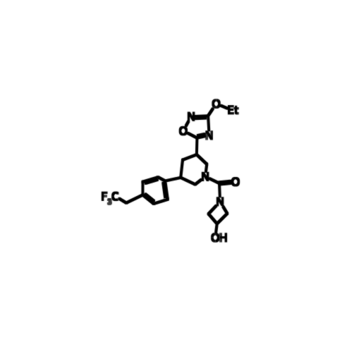 CCOc1noc(C2CC(c3ccc(CC(F)(F)F)cc3)CN(C(=O)N3CC(O)C3)C2)n1